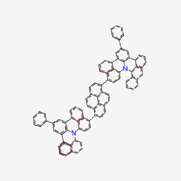 c1ccc(-c2cc(-c3ccccc3)c(N(c3ccc(-c4ccc5ccc6c(-c7ccc(N(c8c(-c9ccccc9)cc(-c9ccccc9)cc8-c8ccccc8)c8cccc9ccccc89)cc7)ccc7ccc4c5c76)cc3)c3cccc4ccccc34)c(-c3ccccc3)c2)cc1